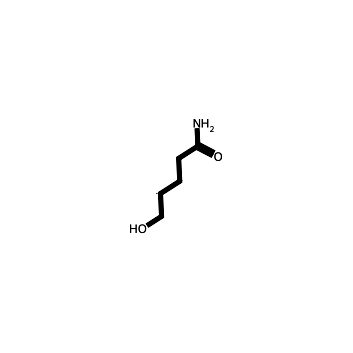 NC(=O)CC[CH]CO